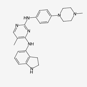 Cc1cnc(Nc2ccc(N3CCN(C)CC3)cc2)nc1Nc1cccc2c1CCN2